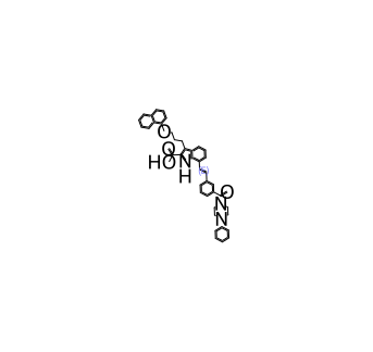 O=C(O)c1[nH]c2c(/C=C/c3cccc(C(=O)N4CCN(c5ccccc5)CC4)c3)cccc2c1CCCOc1cccc2ccccc12